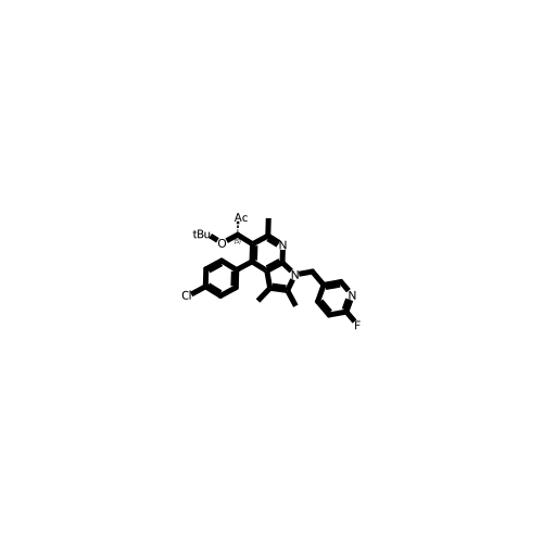 CC(=O)[C@@H](OC(C)(C)C)c1c(C)nc2c(c(C)c(C)n2Cc2ccc(F)nc2)c1-c1ccc(Cl)cc1